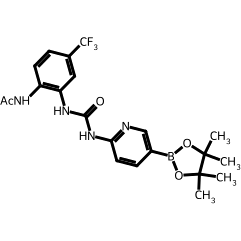 CC(=O)Nc1ccc(C(F)(F)F)cc1NC(=O)Nc1ccc(B2OC(C)(C)C(C)(C)O2)cn1